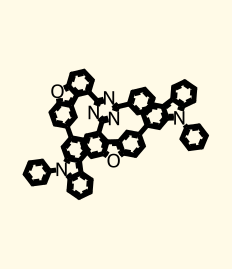 c1ccc(-c2nc(-c3cccc4oc5ccc(-c6ccc7c8ccccc8n(-c8ccccc8)c7c6)cc5c34)nc(-c3cccc4oc5ccc(-c6ccc7c8ccccc8n(-c8ccccc8)c7c6)cc5c34)n2)cc1